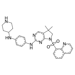 CC1(C)CN(S(=O)(=O)c2cccc3cccnc23)c2nc(Nc3ccc(NC4CCNCC4)cc3)ncc21